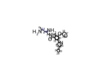 C/C(N)=C/C=C(\N)CNC(=O)c1cc(OC2CCOC2)cc(-c2ncc(C3CCC3)s2)c1